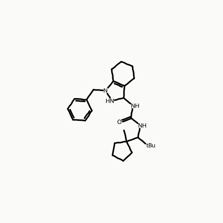 CC(C)(C)C(NC(=O)NC1NN(Cc2ccccc2)C2=C1CCCC2)C1(C)CCCC1